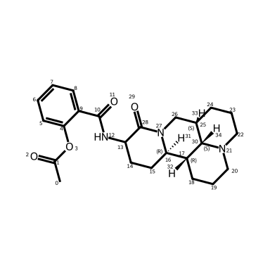 CC(=O)Oc1ccccc1C(=O)NC1CC[C@@H]2[C@H]3CCCN4CCC[C@@H](CN2C1=O)[C@@H]34